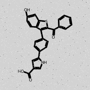 O=C(O)c1c[nH]c(-c2ccc(-c3c(C(=O)c4ccccc4)sc4cc(O)ccc34)cc2)c1